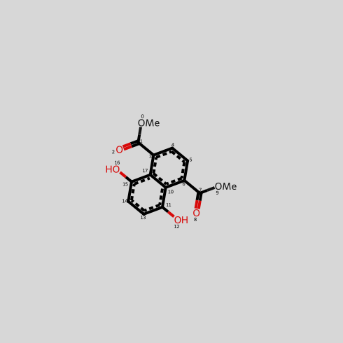 COC(=O)c1ccc(C(=O)OC)c2c(O)ccc(O)c12